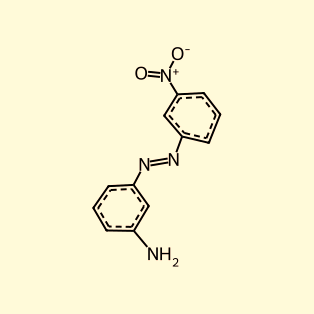 Nc1cccc(N=Nc2cccc([N+](=O)[O-])c2)c1